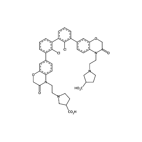 O=C(O)C1CCN(CCN2C(=O)COc3cc(-c4cccc(-c5cccc(-c6ccc7c(c6)OCC(=O)N7CCN6CCC(C(=O)O)C6)c5Cl)c4Cl)ccc32)C1